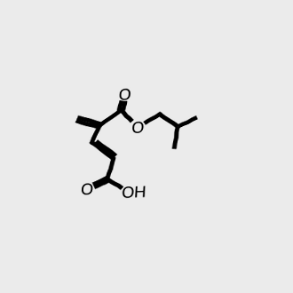 C=C(C=CC(=O)O)C(=O)OCC(C)C